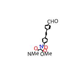 CNC(=O)C(C(=O)OC)N(C)C(=O)c1ccc(C#Cc2c#cc(C=O)cc2)cc1